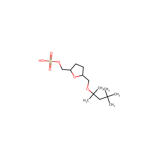 CC(C)(C)CC(C)(C)OCC1CCC(COS(=O)(=O)O)O1